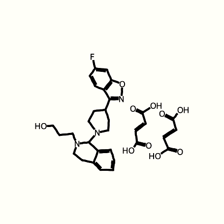 O=C(O)/C=C/C(=O)O.O=C(O)/C=C/C(=O)O.OCCCN1CCc2ccccc2C1N1CCC(c2noc3cc(F)ccc23)CC1